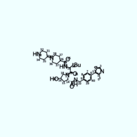 Cc1ncsc1-c1ccc(CNC(=O)[C@@H]2C[C@@H](O)CN2C(=O)[C@@H](NC(=O)C2CCN(C3CCNCC3)CC2)C(C)(C)C)cc1